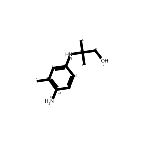 Cc1cc(NC(C)(C)CO)ccc1N